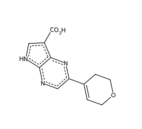 O=C(O)c1c[nH]c2ncc(C3=CCOCC3)nc12